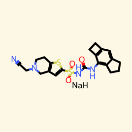 N#CCN1CCc2sc(S(=O)(=O)NC(=O)Nc3c4c(cc5c3CC5)CCC4)cc2C1.[NaH]